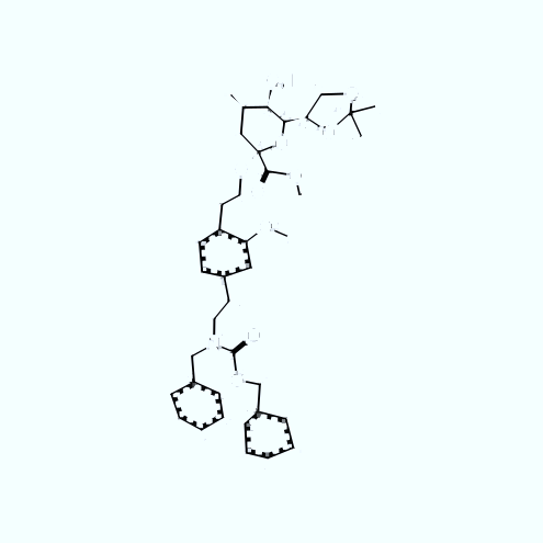 COC(=O)[C@@]1(OCCc2ccc(CCN(Cc3ccccc3)C(=O)OCc3ccccc3)cc2OC)C[C@@H](C)[C@@H](O)C([C@H]2COC(C)(C)O2)O1